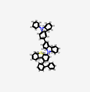 c1ccc(-c2ccccc2-c2ccc(-n3c4ccccc4c4cc(-c5ccc6c(c5)c5ccccc5n6-c5ccccc5)ccc43)c3sc4ccccc4c23)cc1